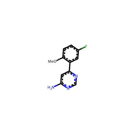 COc1ccc(F)cc1-c1cc(N)ncn1